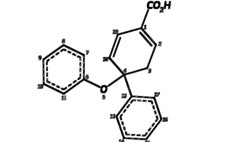 O=C(O)C1=CCC(Oc2ccccc2)(c2ccccc2)C=C1